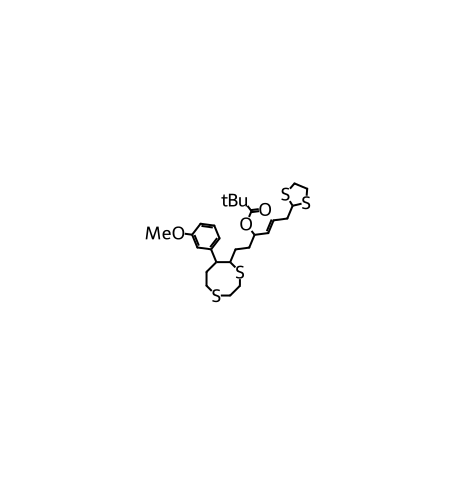 COc1cccc(C2CCSCCSC2CCC(/C=C/CC2SCCS2)OC(=O)C(C)(C)C)c1